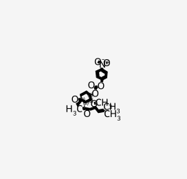 CO[C@H]1[C@H](C2(C)OC2CC=C(C)C)[C@]2(CC[C@H]1OC(=O)Oc1ccc([N+](=O)[O-])cc1)CO2